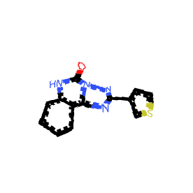 O=c1[nH]c2ccccc2c2nc(-c3ccsc3)nn12